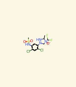 CC1NN(c2cc(NS(C)(=O)=O)c(Cl)cc2Cl)C[N+]1([O-])C(F)F